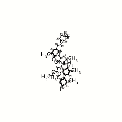 CCOC(=O)CC(NC(=O)C(CC(C)C)n1nc(CCN2CCC(F)(F)C2)cc(C)c1=O)c1cc(-c2c(C)cc(F)cc2C)cc(C)c1F